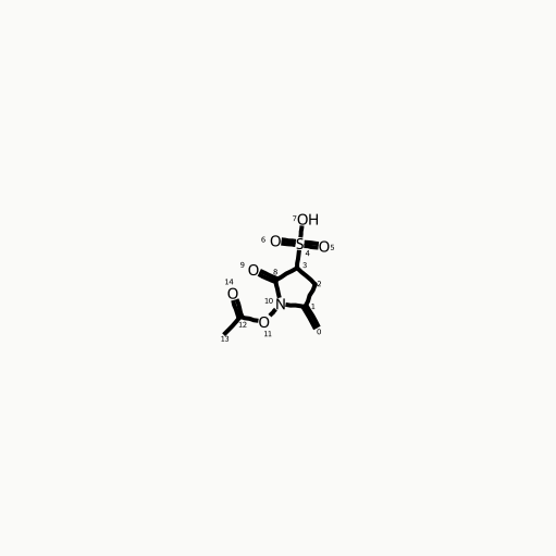 C=C1CC(S(=O)(=O)O)C(=O)N1OC(C)=O